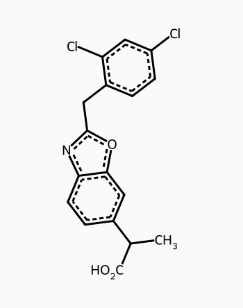 CC(C(=O)O)c1ccc2nc(Cc3ccc(Cl)cc3Cl)oc2c1